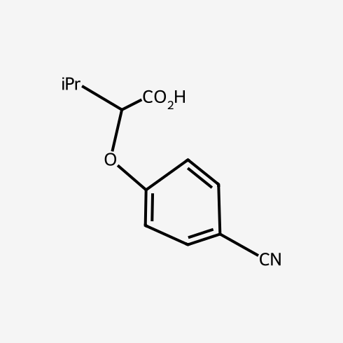 CC(C)C(Oc1ccc(C#N)cc1)C(=O)O